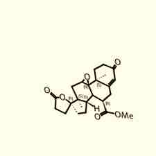 COC(=O)[C@@H]1CC2=CC(=O)CC[C@]2(C)[C@@]23OC2C[C@@]2(C)[C@@H](CC[C@@]24CCC(=O)O4)C13